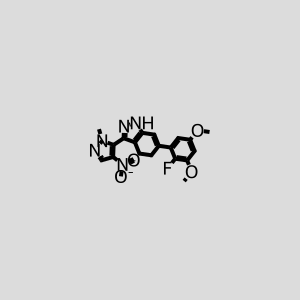 COc1cc(OC)c(F)c(C2=Cc3[nH]nc(-c4c([N+](=O)[O-])cnn4C)c3CC2)c1